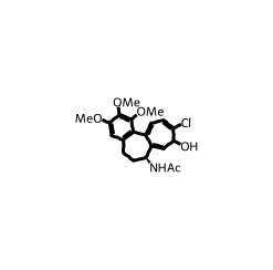 COc1cc2c(c(OC)c1OC)C1=CC=C(Cl)C(O)C=C1[C@@H](NC(C)=O)CC2